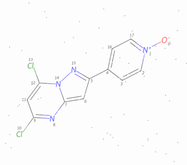 [O-][n+]1ccc(-c2cc3nc(Cl)cc(Cl)n3n2)cc1